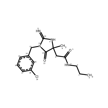 CCCNC(=O)CC1(C)NC(=N)N(Cc2cccc(Cl)c2)C1=O